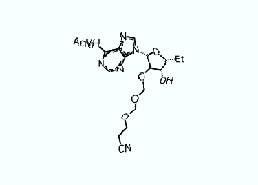 CC[C@H]1O[C@@H](n2cnc3c(NC(C)=O)ncnc32)C(OCOCOCCC#N)[C@H]1O